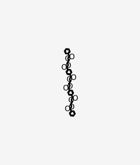 O=C(OCCOC(=O)c1ccc(C(=O)OCCOC(=O)c2ccc(C(=O)OCCOC(=O)c3ccccc3)cc2)cc1)c1ccccc1